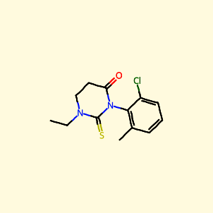 CCN1CCC(=O)N(c2c(C)cccc2Cl)C1=S